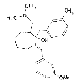 COc1cccc(C=C2CCCCC(CN(C)C)C2(O)Cc2cccc(C)c2)c1